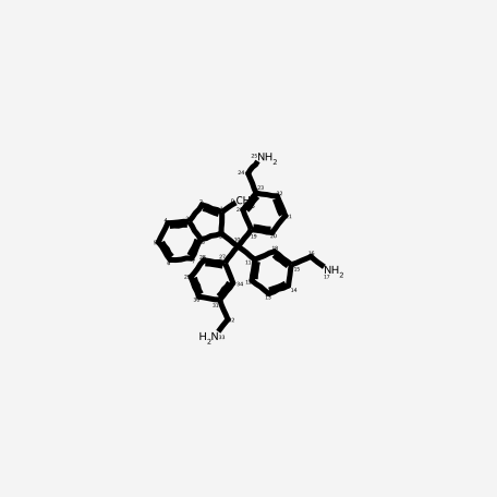 CC1=Cc2ccccc2C1C(c1cccc(CN)c1)(c1cccc(CN)c1)c1cccc(CN)c1